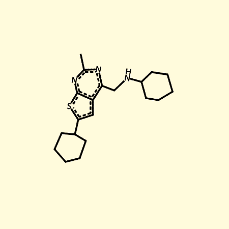 Cc1nc(CNC2CCCCC2)c2cc(C3CCCCC3)sc2n1